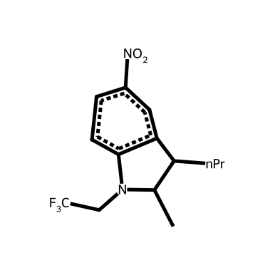 CCCC1c2cc([N+](=O)[O-])ccc2N(CC(F)(F)F)C1C